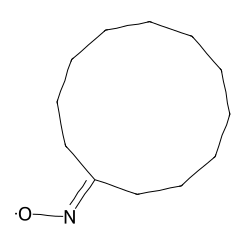 [O]N=C1CCCCCCCCCCC1